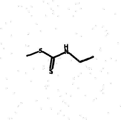 CCNC(=S)SC